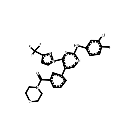 O=C(c1cccc(-c2cnc(Nc3ccc(F)c(Cl)c3)nc2-n2ccc(C(F)(F)F)n2)c1)N1CCOCC1